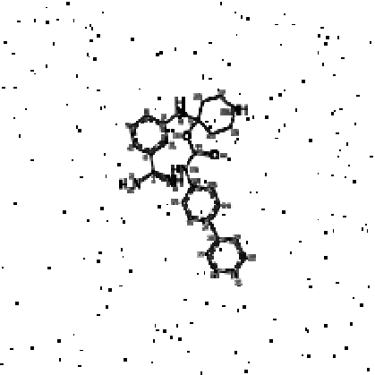 N=C(N)c1cccc(NC2(OC(=O)Nc3ccc(-c4ccncc4)cc3)CCNCC2)c1